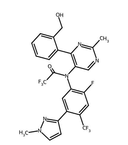 Cc1ncc(N(C(=O)C(F)(F)F)c2cc(-c3ccn(C)n3)c(C(F)(F)F)cc2F)c(-c2ccccc2CO)n1